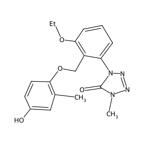 CCOc1cccc(-n2nnn(C)c2=O)c1COc1ccc(O)cc1C